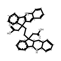 O=C(O)CC1(CCC2(CC(=O)O)c3ccccc3C3NC4C=CC=CC4CC32)C2=C(NC3C=CC=CC3=C2)c2ccccc21